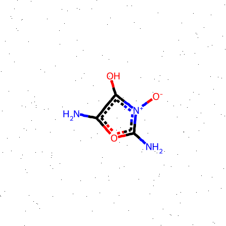 Nc1oc(N)[n+]([O-])c1O